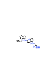 COc1cccc2c1C(Nc1ccc3c(NCc4c[nH]cn4)cccc3n1)CC2